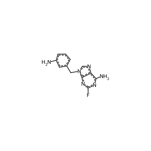 Nc1cccc(Cn2cnc3c(N)nc(F)nc32)c1